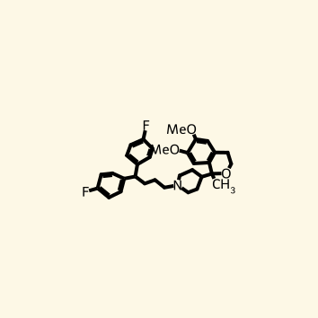 COc1cc2c(cc1OC)C(C)(C1CCN(CCCC(c3ccc(F)cc3)c3ccc(F)cc3)CC1)OCC2